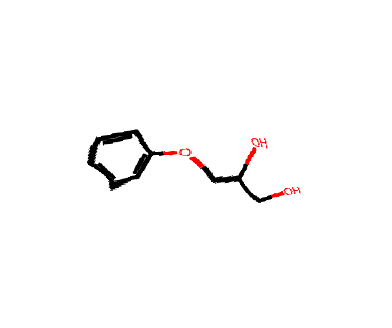 OCC(O)COc1c[c]ccc1